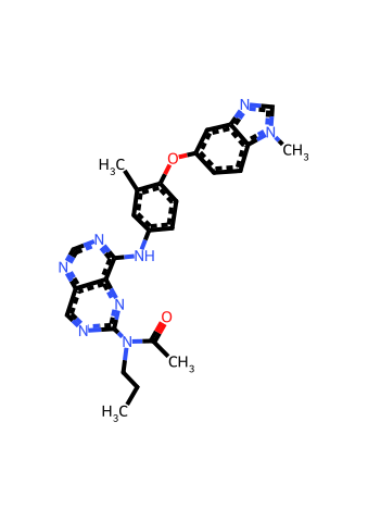 CCCN(C(C)=O)c1ncc2ncnc(Nc3ccc(Oc4ccc5c(c4)ncn5C)c(C)c3)c2n1